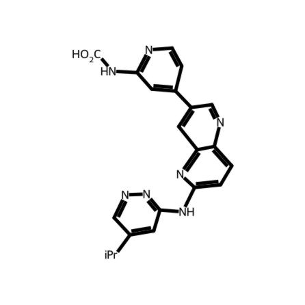 CC(C)c1cnnc(Nc2ccc3ncc(-c4ccnc(NC(=O)O)c4)cc3n2)c1